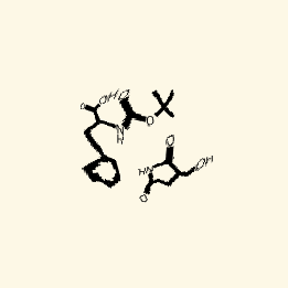 CC(C)(C)OC(=O)NC(Cc1ccccc1)C(=O)O.O=C1CC(O)C(=O)N1